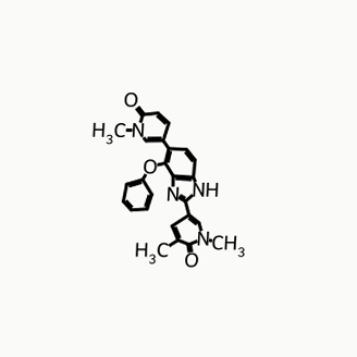 Cc1cc(-c2nc3c(Oc4ccccc4)c(-c4ccc(=O)n(C)c4)ccc3[nH]2)cn(C)c1=O